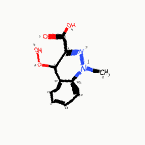 CN1N=C(C(=O)O)C(OO)c2ccccc21